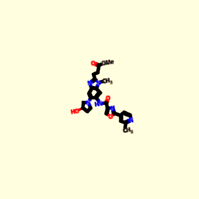 COC(=O)CCc1nc2cc(N3CC[C@@H](O)C3)c(NC(=O)c3coc(-c4ccnc(C)c4)n3)cc2n1C